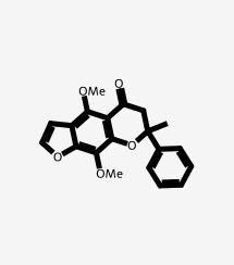 COc1c2c(c(OC)c3occc13)OC(C)(c1ccccc1)CC2=O